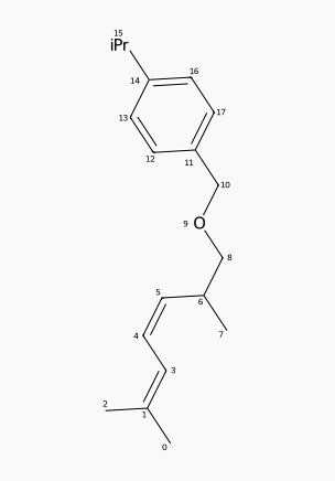 CC(C)=C/C=C\C(C)COCc1ccc(C(C)C)cc1